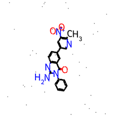 Cc1ncc(-c2ccc3nc(N)n(-c4ccccc4)c(=O)c3c2)cc1[N+](=O)[O-]